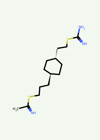 CC(=N)SCCC[C@H]1CC[C@H](CCSC(=N)N)CC1